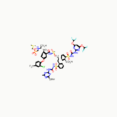 COc1nc(C)nc(NC(=O)NS(=O)(=O)c2ccccc2CCC(F)(F)F)n1.CS(=O)(=O)NC(=O)c1cc(Oc2ccc(C(F)(F)F)cc2Cl)ccc1[N+](=O)[O-].C[S+](C)C.O=C(Nc1nc(OC(F)F)cc(OC(F)F)n1)NS(=O)(=O)c1ccccc1C(=O)O.O=C(O)CNCP(=O)([O-])O